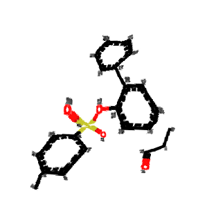 CCC=O.Cc1ccc(S(=O)(=O)Oc2ccccc2-c2ccccc2)cc1